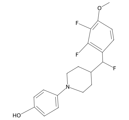 COc1ccc(C(F)C2CCN(c3ccc(O)cc3)CC2)c(F)c1F